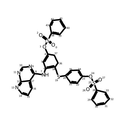 O=S(=O)(OC1=CC(Nc2ncnc3ncccc23)=C(Sc2ccc(OS(=O)(=O)c3ccccc3)cc2)CC1)c1ccccc1